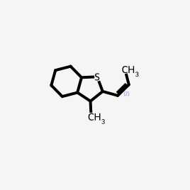 C/C=C\C1SC2CCCCC2C1C